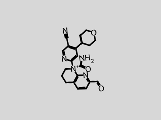 N#Cc1cnc([N+]2(C(N)=O)CCCc3ccc(C=O)nc32)cc1C1CCOCC1